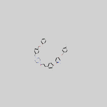 Cc1ccc(COc2ccc(Oc3c(C)cc(C=CC(=O)N4CCN(Cc5ccc(COc6ccc(Cl)cc6)cc5)CC4)cc3Cl)nc2)cc1